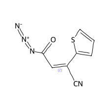 N#C/C(=C/C(=O)N=[N+]=[N-])c1cccs1